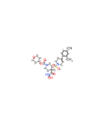 Cc1cc(C#N)ccc1C1=CCN(S(=O)(=O)CC2(C(=O)NO)CCN(C(=O)OC3CCOCC3)CC2)CC1